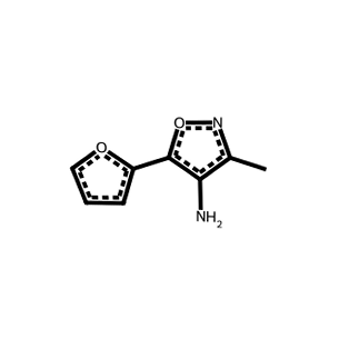 Cc1noc(-c2ccco2)c1N